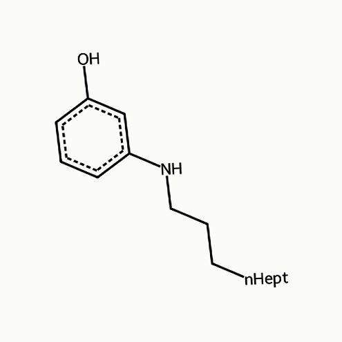 CCCCCCCCCCNc1cccc(O)c1